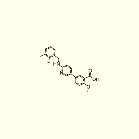 COc1ccc(-c2ccc(NCc3cccc(C)c3F)nc2)cc1C(=O)O